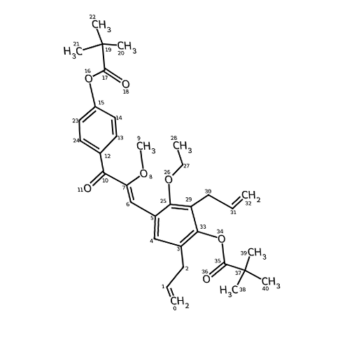 C=CCc1cc(C=C(OC)C(=O)c2ccc(OC(=O)C(C)(C)C)cc2)c(OCC)c(CC=C)c1OC(=O)C(C)(C)C